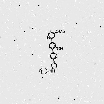 COc1cc(-c2ccc(-c3ccc(N4CC[C@@H](NC5CCOCC5)C4)nn3)c(O)c2)ncn1